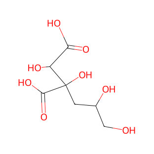 O=C(O)C(O)C(O)(CC(O)CO)C(=O)O